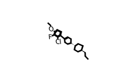 CCC[C@H]1CC[C@H](C2CC=C(c3ccc(OCC)c(F)c3Cl)CC2)CC1